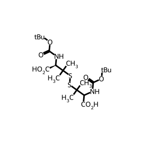 CC(C)(C)OC(=O)NC(C(=O)O)C(C)(C)SSC(C)(C)[C@H](NC(=O)OC(C)(C)C)C(=O)O